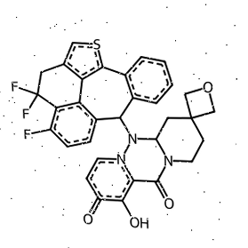 O=C1c2c(O)c(=O)ccn2N(C2c3ccccc3-c3scc4c3-c3c2ccc(F)c3C(F)(F)C4)C2CC3(CCN12)COC3